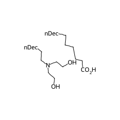 CCCCCCCCCCCCCCCC(=O)O.CCCCCCCCCCCCN(CCO)CCO